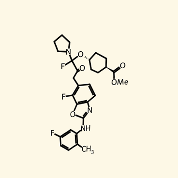 COC(=O)[C@H]1CC[C@H](OC(F)(C(=O)Cc2ccc3nc(Nc4cc(F)ccc4C)oc3c2F)N2CCCC2)CC1